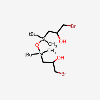 CC(C)(C)[Si](C)(CC(O)CBr)O[Si](C)(CC(O)CBr)C(C)(C)C